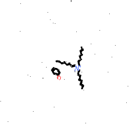 CCCCCCCC[N+](C)(CCCCCCCC)CCCCCCCC.[O-]c1ccccc1